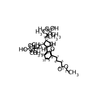 CCOC(=O)CCCc1cccc2c1O[C@H]1C[C@@H](CC(C)(C)[Si](C)(C)O)[C@H](CCC(C)(C)[Si](C)(C)O)[C@@H]21